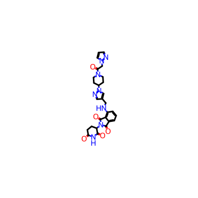 O=C1CCC(N2C(=O)c3cccc(NCc4cnn(C5CCN(C(=O)Cn6cccn6)CC5)c4)c3C2=O)C(=O)N1